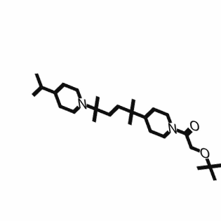 CC(C)C1CCN(C(C)(C)CCC(C)(C)C2CCN(C(=O)COC(C)(C)C)CC2)CC1